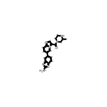 CC1CN(C(=O)c2cnc3ccc(-c4ccc5oc(N)nc5c4)cn23)CCN1